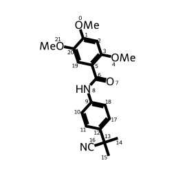 COc1cc(OC)c(C(=O)Nc2ccc(C(C)(C)C#N)cc2)cc1OC